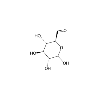 O=C[C@H]1OC(O)[C@H](O)[C@@H](O)[C@@H]1O